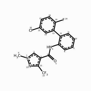 Cn1cc(C(=O)Nc2ccccc2-c2cc(Cl)ccc2F)c(C(F)(F)F)n1